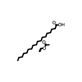 C=COC(C)=O.CCCCCCCCCCCCCCCCCC(=O)O